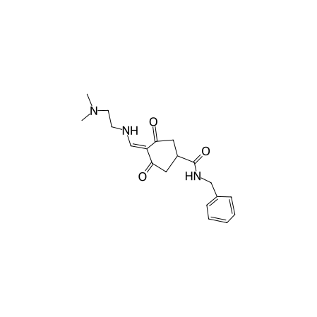 CN(C)CCNC=C1C(=O)CC(C(=O)NCc2ccccc2)CC1=O